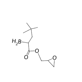 BC(CC(C)(C)C)C(=O)OCC1CO1